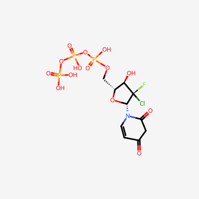 O=C1C=CN([C@@H]2O[C@H](COP(=O)(O)OP(=O)(O)OP(=O)(O)O)[C@@H](O)[C@]2(F)Cl)C(=O)C1